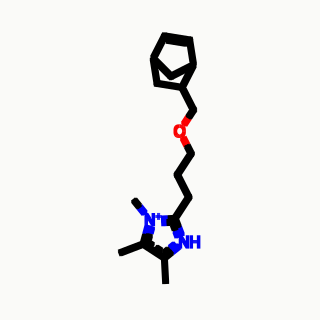 Cc1[nH]c(CCCOCC2CC3C=CC2C3)[n+](C)c1C